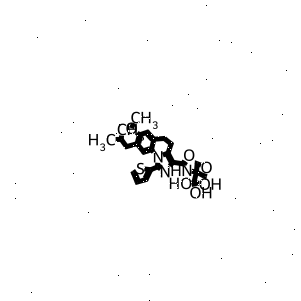 COc1cc2c(cc1CC(C)C)-n1c(-c3cccs3)nc(C(=O)NC3(C(O)(O)O)COC3)c1CC2